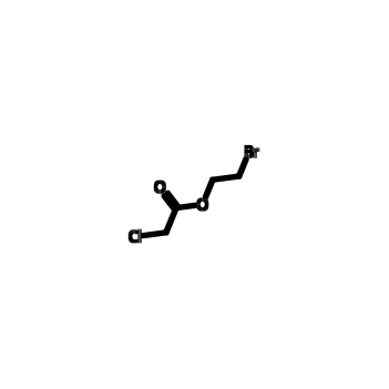 O=C(CCl)OCCBr